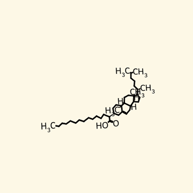 CCCCCCCCCCCCCC(C(=O)O)[C@H]1CC[C@@]2(C)C(=CC[C@H]3[C@@H]4CC[C@H]([C@H](C)CCCC(C)C)[C@@]4(C)CC[C@@H]32)C1